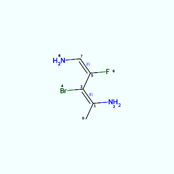 C/C(N)=C(Br)/C(F)=C\N